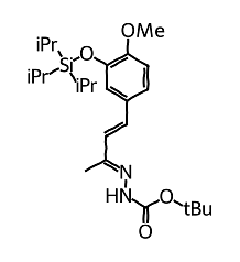 COc1ccc(C=CC(C)=NNC(=O)OC(C)(C)C)cc1O[Si](C(C)C)(C(C)C)C(C)C